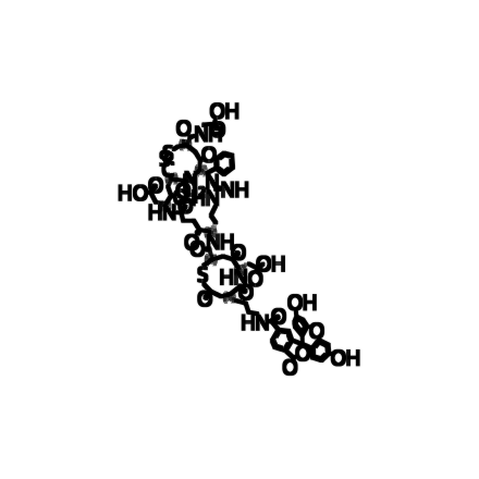 N=C(N)NCCC[C@H](NC(=O)[C@@H]1CSCC(=O)C[C@@H](CCCCNC(=O)c2ccc3c(c2)C2(OC3=O)c3ccc(O)cc3Oc3cc(O)ccc32)C(=O)N[C@@H](CC(=O)O)C(=O)C1)C(=O)CCC(=O)N[C@@H](CC(=O)O)C(=O)C[C@H]1CSSC[C@@H](C(=O)NCC(=O)O)CC(=O)[C@H](Cc2ccccc2)NC1=O